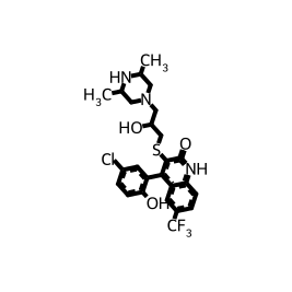 CC1CN(CC(O)CSc2c(-c3cc(Cl)ccc3O)c3cc(C(F)(F)F)ccc3[nH]c2=O)CC(C)N1